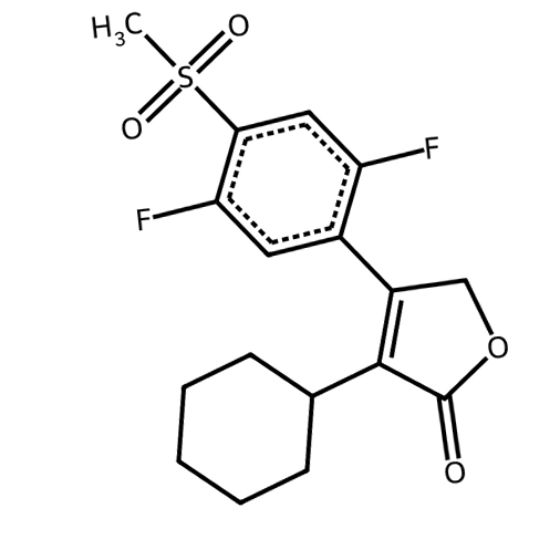 CS(=O)(=O)c1cc(F)c(C2=C(C3CCCCC3)C(=O)OC2)cc1F